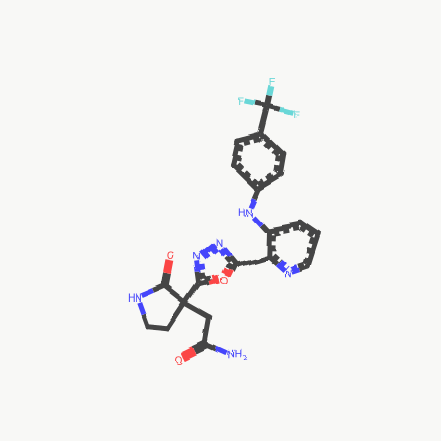 NC(=O)CC1(c2nnc(-c3ncccc3Nc3ccc(C(F)(F)F)cc3)o2)CCNC1=O